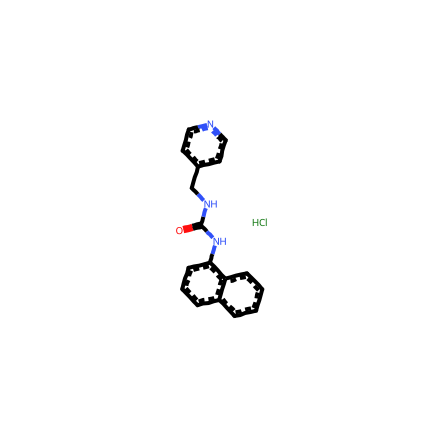 Cl.O=C(NCc1ccncc1)Nc1cccc2ccccc12